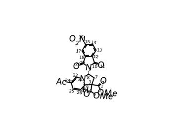 COC(=O)C1(C(=O)OC)C[C@@H](N2C(=O)c3ccc([N+](=O)[O-])cc3C2=O)N2C=C(C(C)=O)C=C[C@@H]21